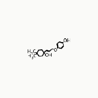 CC1(C)CCC(O)(C=CCOc2ccc(O)cc2)CC1